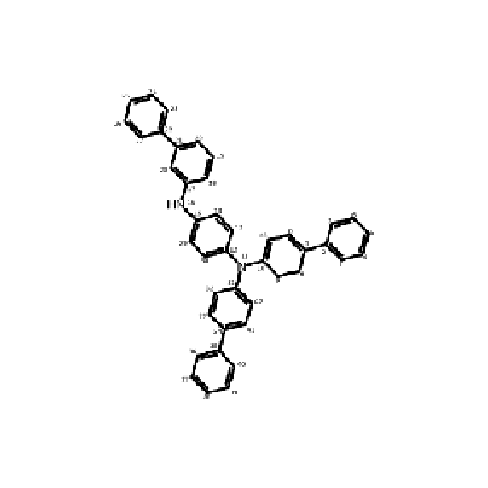 C1=C(c2ccccc2)CCC(N(c2ccc(Nc3cccc(-c4ccccc4)c3)cc2)c2ccc(-c3ccccc3)cc2)=C1